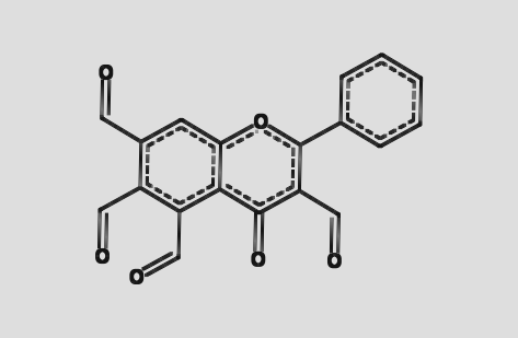 O=Cc1cc2oc(-c3ccccc3)c(C=O)c(=O)c2c(C=O)c1C=O